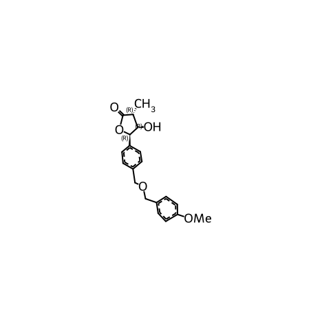 COc1ccc(COCc2ccc([C@H]3OC(=O)[C@H](C)[C@H]3O)cc2)cc1